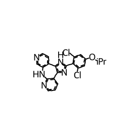 CC(C)Oc1cc(Cl)c(-c2nc3c([nH]2)-c2ccncc2Nc2ncccc2-3)c(Cl)c1